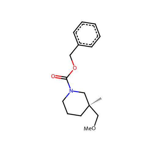 COC[C@@]1(C)CCCN(C(=O)OCc2ccccc2)C1